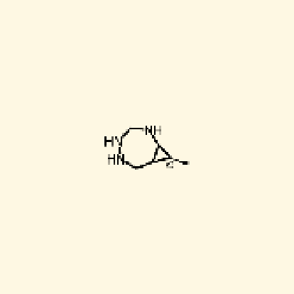 C[C@H]1C2CNNCNC21